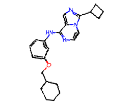 c1cc(Nc2nccn3c(C4CCC4)ncc23)cc(OCC2CCCCC2)c1